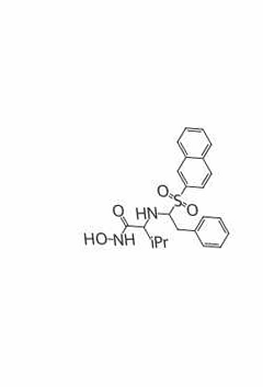 CC(C)C(NC(Cc1ccccc1)S(=O)(=O)c1ccc2ccccc2c1)C(=O)NO